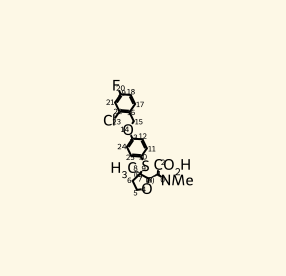 CNC(C(=O)O)[C@H]1OCC[C@@]1(C)Sc1ccc(OCc2ccc(F)cc2Cl)cc1